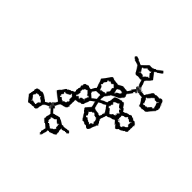 Cc1cc(C)cc(N(c2ccccc2)c2ccc3cc4c(cc3c2)C2(c3ccccc3-c3c2ccc2ccccc32)c2c-4ccc3cc(N(c4ccccc4)c4cc(C)cc(C)c4)ccc23)c1